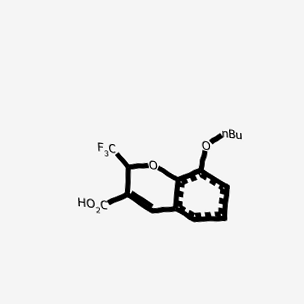 CCCCOc1cccc2c1OC(C(F)(F)F)C(C(=O)O)=C2